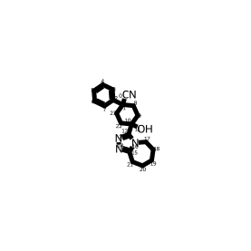 N#CC1(c2ccccc2)CCC(O)(c2nnc3n2CCCCC3)CC1